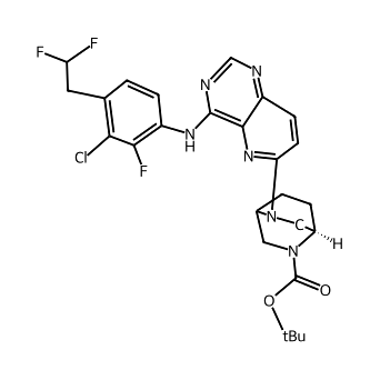 CC(C)(C)OC(=O)N1CC2CC[C@@H]1CN2c1ccc2ncnc(Nc3ccc(CC(F)F)c(Cl)c3F)c2n1